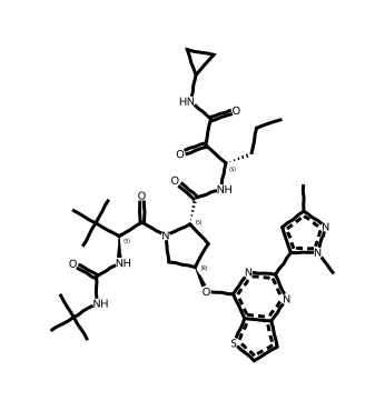 CCC[C@H](NC(=O)[C@@H]1C[C@@H](Oc2nc(-c3cc(C)nn3C)nc3ccsc23)CN1C(=O)[C@@H](NC(=O)NC(C)(C)C)C(C)(C)C)C(=O)C(=O)NC1CC1